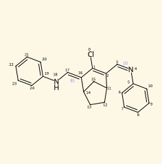 ClC1=C(/C=N\c2ccccc2)C2CCC(C2)/C1=C\Nc1ccccc1